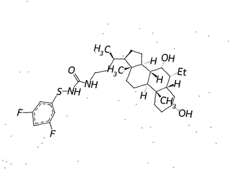 CC[C@H]1[C@@H](O)[C@@H]2[C@H](CC[C@]3(C)[C@@H]([C@H](C)CCNC(=O)NSc4cc(F)cc(F)c4)CC[C@@H]23)[C@@]2(C)CC[C@@H](O)C[C@@H]12